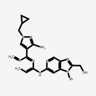 C=N/C(=N\C(=C/C)Nc1cc2c(cn1)nc(CO)n2C(C)C)c1cn(CC2CC2)nc1N